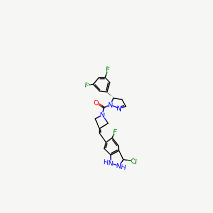 O=C(N1CC(=Cc2cc3c(cc2F)C(Cl)NN3)C1)N1N=CC[C@H]1c1cc(F)cc(F)c1